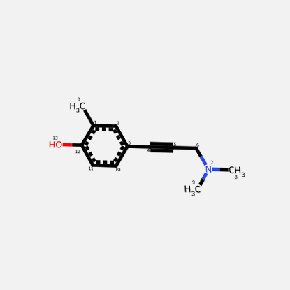 Cc1cc(C#CCN(C)C)ccc1O